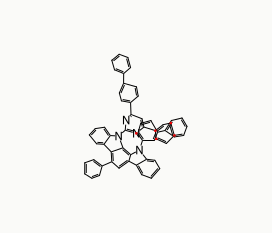 c1ccc(-c2ccc(-c3cc(-c4ccccc4)nc(-n4c5ccccc5c5c(-c6ccccc6)cc6c7ccccc7n(-c7cccc(-c8ccccc8)c7)c6c54)n3)cc2)cc1